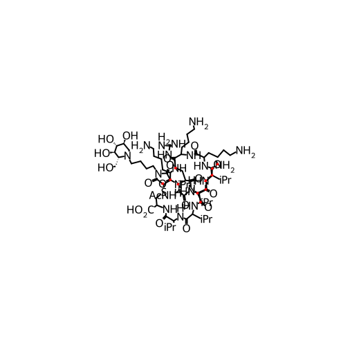 CC(=O)NC(C(=O)NC(C(=O)NC(C(=O)NC(CCCCN)C(=O)NC(CCCCN)C(=O)NC(CCCCN)C(=O)NC(CCCNC(=N)N)C(=O)NC(CCCCN)C(=O)NC(C(=O)NC(C(=O)NC(CSC1CC(=O)N(CCCCN2C[C@H](O)[C@@H](O)[C@H](O)[C@H]2CO)C1=O)C(=O)O)C(C)C)C(C)C)C(C)C)C(C)C)C(C)C